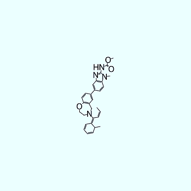 C/C=C\C(=C1\C=CC=CC1C)N1CCOc2ccc(-c3ccc4c(c3)nc(NC(=O)OC)n4C)cc2C1